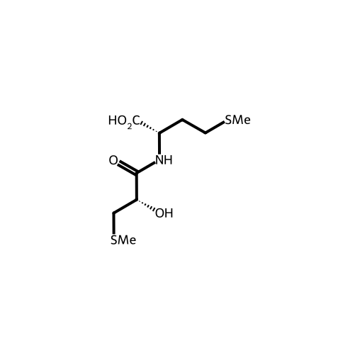 CSCC[C@H](NC(=O)[C@H](O)CSC)C(=O)O